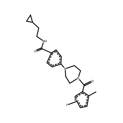 Cc1ccc(F)cc1C(=O)N1CCN(c2ccc(C(=O)NCCC3CC3)cc2)CC1